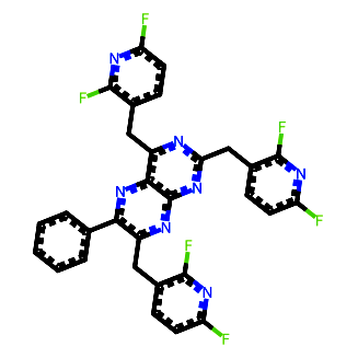 Fc1ccc(Cc2nc(Cc3ccc(F)nc3F)c3nc(-c4ccccc4)c(Cc4ccc(F)nc4F)nc3n2)c(F)n1